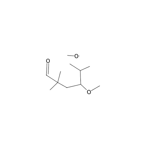 COC(CC(C)(C)C=O)C(C)C.C[O]